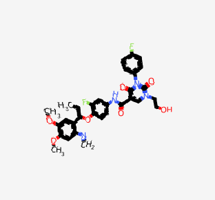 C=Nc1cc(OC)c(OC)cc1/C(=C\C)Oc1ccc(NC(=O)c2cn(CCO)c(=O)n(-c3ccc(F)cc3)c2=O)cc1F